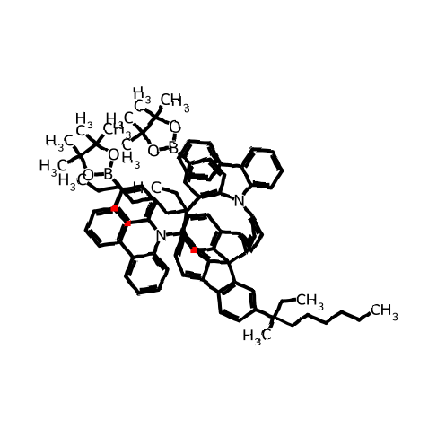 CCCCCCC(C)(CC)c1ccc2c(c1)C13c4cc(N(c5ccc(B6OC(C)(C)C(C)(C)O6)cc5)c5ccccc5-c5ccccc5)ccc4-c4ccc(cc41)N(c1ccccc1-c1ccccc1)c1ccc(B4OC(C)(C)C(C)(C)O4)cc1C(CC)(CCCCCC)c1ccc-2c3c1